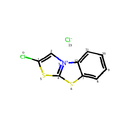 Clc1c[n+]2c(s1)sc1ccccc12.[Cl-]